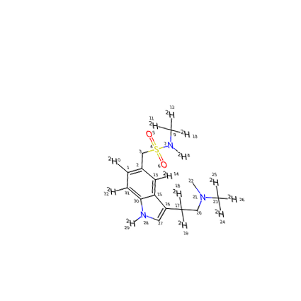 [2H]c1c(CS(=O)(=O)N([2H])C([2H])([2H])[2H])c([2H])c2c(C([2H])([2H])CN(C)C([2H])([2H])[2H])cn([2H])c2c1[2H]